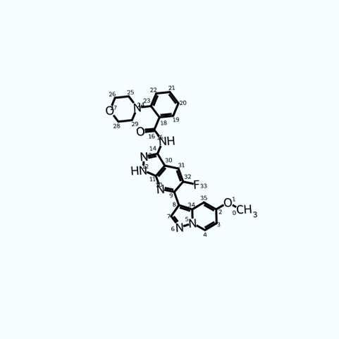 COc1ccn2ncc(-c3nc4[nH]nc(NC(=O)c5ccccc5N5CCOCC5)c4cc3F)c2c1